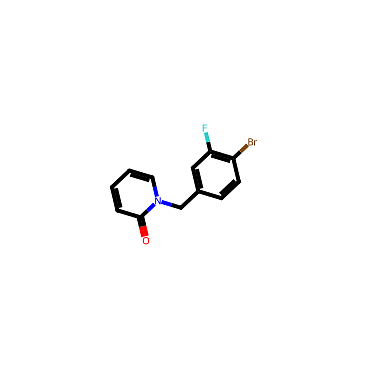 O=c1ccccn1Cc1ccc(Br)c(F)c1